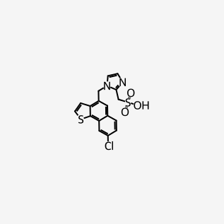 O=S(=O)(O)Cc1nccn1Cc1cc2ccc(Cl)cc2c2sccc12